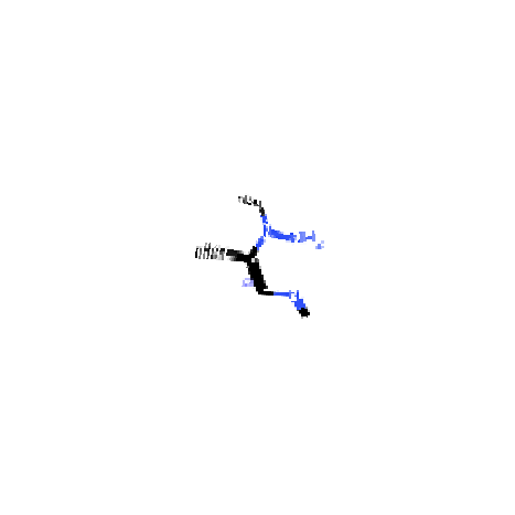 C=N/C=C(/CCCCCC)N(N)CCCC